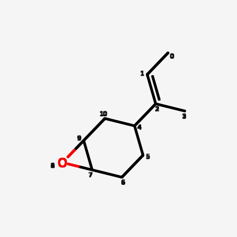 CC=C(C)C1CCC2OC2C1